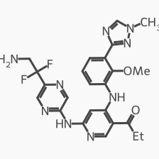 CCC(=O)c1cnc(Nc2cnc(C(F)(F)CN)cn2)cc1Nc1cccc(-c2ncn(C)n2)c1OC